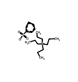 CCC[N+](CCC)(CCC)CCC.O=S(=O)([O-])c1ccccc1